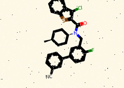 C[C@H]1CC[C@H](N(Cc2cc(-c3cccc(C#N)c3)ccc2F)C(=O)c2sc3ccccc3c2Cl)CC1